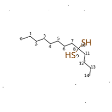 CCCCCCCCC(S)(S)CCCC